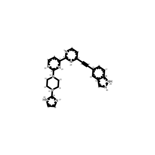 C(#Cc1ccnc(-c2ccnc(N3CCN(c4ncc[nH]4)CC3)n2)n1)c1ccc2[nH]ncc2c1